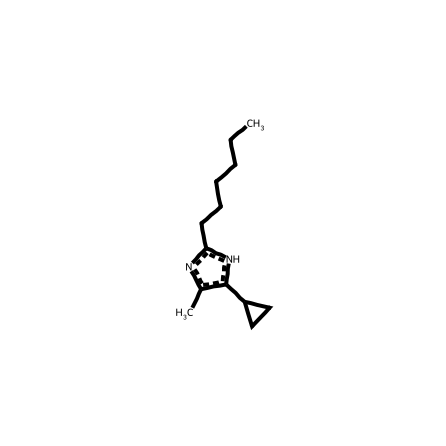 CCCCCCc1nc(C)c(C2CC2)[nH]1